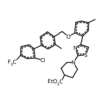 CCOC(=O)C1CCN(c2nc(-c3cc(C)ccc3OCc3ccc(-c4ccc(C(F)(F)F)cc4Cl)cc3C)cs2)CC1